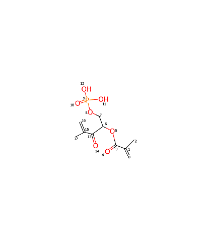 C=C(C)C(=O)OC(COP(=O)(O)O)C(=O)C(=C)C